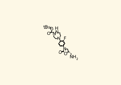 CC(C)(C)OC(=O)N1CCN(c2ccc(N3C[C@H](CN)OC3=O)cc2F)CCN1